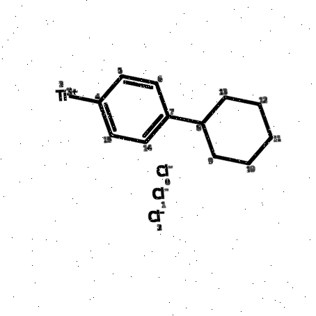 [Cl-].[Cl-].[Cl-].[Ti+3][c]1ccc(C2CCCCC2)cc1